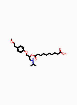 COCCc1ccc(OCC(CNC(C)C)OC(=O)CCCCCCCCC(=O)O)cc1